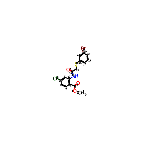 COC(=O)c1ccc(Cl)cc1NC(=O)CSc1cccc(Br)c1